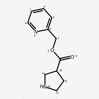 O=C(OCc1ccccn1)C1CCNC1